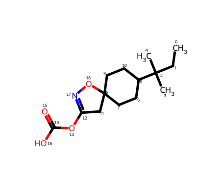 CCC(C)(C)C1CCC2(CC1)CC(OC(=O)O)=NO2